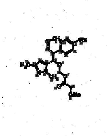 C/N=C\C(=C(\OCOC(=O)COC)c1cc(C)nn1C)c1ccc(C(C)(C)C)cc1